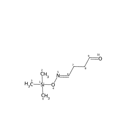 C[Si](C)(C)O/N=C/CCC=O